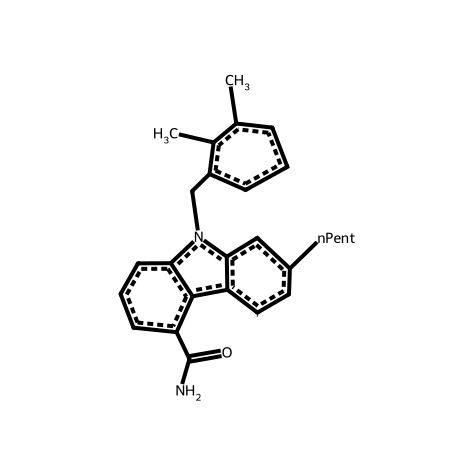 CCCCCc1c[c]c2c3c(C(N)=O)cccc3n(Cc3cccc(C)c3C)c2c1